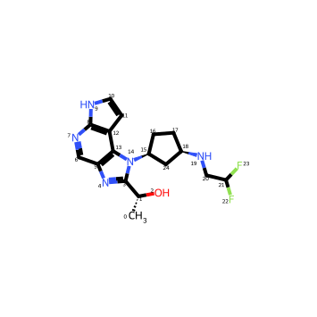 C[C@@H](O)c1nc2cnc3[nH]ccc3c2n1[C@H]1CC[C@@H](NCC(F)F)C1